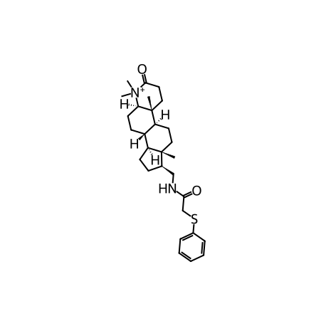 C[C@]12CCC(=O)[N+](C)(C)[C@@H]1CC[C@@H]1[C@@H]2CC[C@]2(C)[C@@H](CNC(=O)CSc3ccccc3)CC[C@@H]12